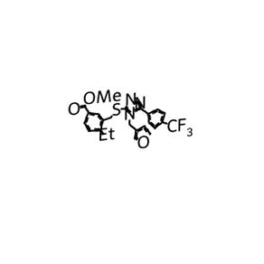 CCc1ccc(C(=O)OC)cc1CSc1nnc(-c2ccc(C(F)(F)F)cc2)n1Cc1ccoc1